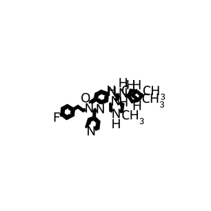 C[C@H]1[C@@H](NC(=Nc2ccc3c(=O)n(CCc4ccc(F)cc4)c(-c4ccncc4)nc3c2)N2CCN[C@@H](C)C2)C[C@@H]2C[C@@H]1C2(C)C